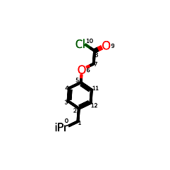 CC(C)Cc1ccc(OCC(=O)Cl)cc1